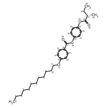 CCCCCCCCCCCCOc1ccc(C(=O)Oc2ccc(OC(=O)[C@@H](C)CC)cc2)cc1